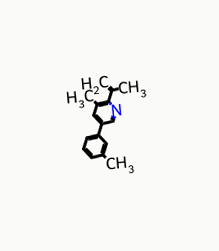 C=C(C)c1ncc(-c2cccc(C)c2)cc1C